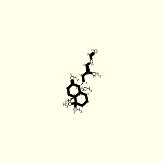 C=C1CC[C@H]2C(C)(C)CCC[C@]2(C)[C@H]1CC/C(C)=C/OC=O